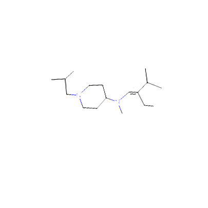 CC/C(=C\N(C)C1CCN(CC(C)C)CC1)C(C)C